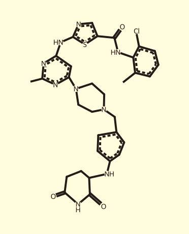 Cc1nc(Nc2ncc(C(=O)Nc3c(C)cccc3Cl)s2)cc(N2CCN(Cc3ccc(NC4CCC(=O)NC4=O)cc3)CC2)n1